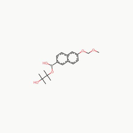 COCOc1ccc2cc(B(O)OC(C)(C)C(C)(C)O)ccc2c1